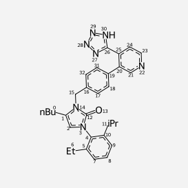 CCCCc1cn(-c2c(CC)cccc2C(C)C)c(=O)n1Cc1ccc(-c2cnccc2-c2nnn[nH]2)cc1